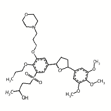 CCCOc1c(OCCCN2CCOCC2)cc(C2CCC(c3cc(OC)c(OC)c(OC)c3)O2)cc1S(=O)(=O)CCC(C)O